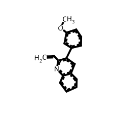 C=Cc1nc2ccccc2cc1-c1cccc(OC)c1